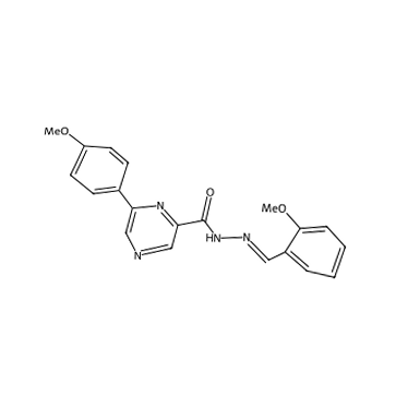 COc1ccc(-c2cncc(C(=O)NN=Cc3ccccc3OC)n2)cc1